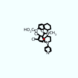 C[N+](C(=O)c1cccc(Cl)c1Cl)(C1CCN(c2ccncc2)CC1)C1CCCc2ccc(OC(=O)O)cc21